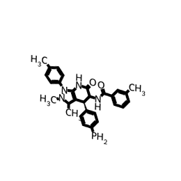 Cc1ccc(N2C3=C(C(C)N2C)[C@H](c2ccc(P)cc2)C(NC(=O)c2cccc(C)c2)C(=O)N3)cc1